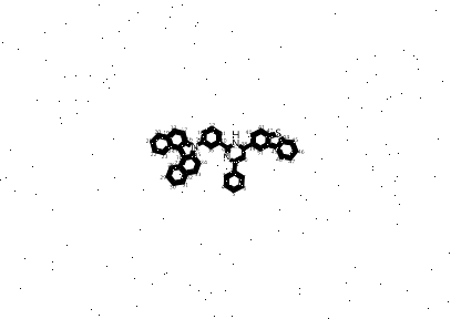 C1=C(c2ccccc2)N=C(c2cccc(-n3c4ccc5ccccc5c4c4c5ccccc5ccc43)c2)NC1c1ccc2sc3ccccc3c2c1